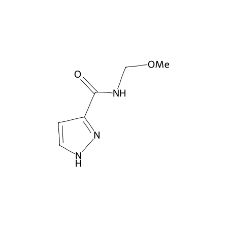 COCNC(=O)c1cc[nH]n1